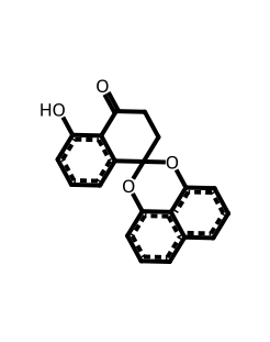 O=C1CCC2(Oc3cccc4cccc(c34)O2)c2cccc(O)c21